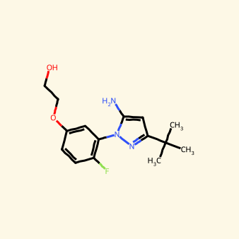 CC(C)(C)c1cc(N)n(-c2cc(OCCO)ccc2F)n1